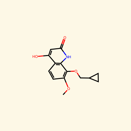 COc1ccc2c(O)cc(=O)[nH]c2c1OCC1CC1